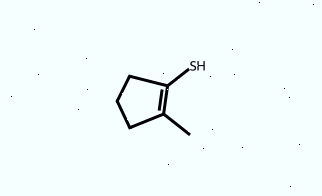 CC1=C(S)CCC1